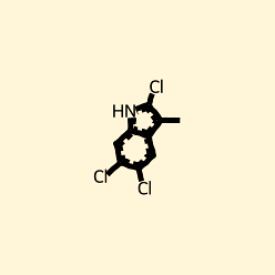 Cc1c(Cl)[nH]c2cc(Cl)c(Cl)cc12